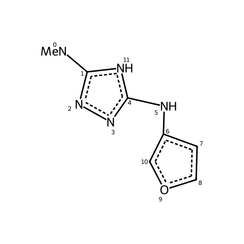 CNc1nnc(Nc2ccoc2)[nH]1